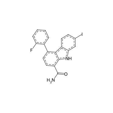 NC(=O)c1ccc(-c2ccccc2F)c2c1[nH]c1cc(I)ccc12